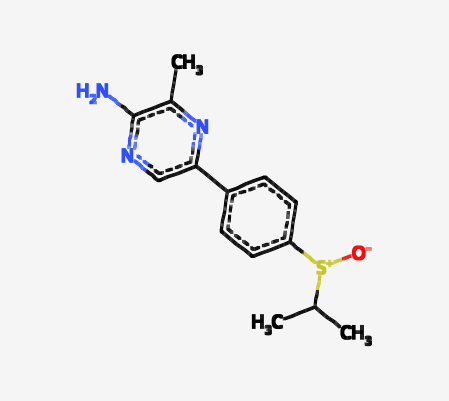 Cc1nc(-c2ccc([S+]([O-])C(C)C)cc2)cnc1N